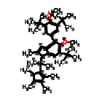 COc1c(C(C)(C)C)cc(-c2c3c(cc(C(C)(C)C)c2OC)C([Si](C)(C)C2=C(C)C(C)=C(C)C2C)C(C)=C3)cc1C(C)(C)C